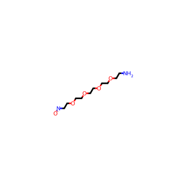 NCCOCCOCCOCCOCCN=O